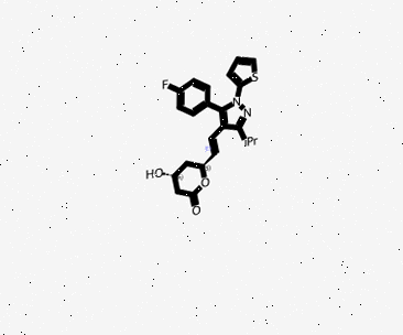 CC(C)c1nn(-c2cccs2)c(-c2ccc(F)cc2)c1/C=C/[C@@H]1C[C@@H](O)CC(=O)O1